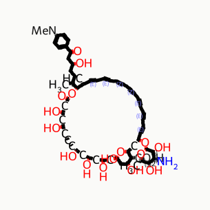 CNc1ccc(C(=O)CC(O)CCC(C)C2OC(=O)CC(O)CC(O)CCCC(O)CC(O)CC(O)CC3(O)CC(O)C(C(=O)O)C(CC(OC4O[C@H](C)[C@@H](O)[C@H](N)[C@@H]4O)/C=C/C=C/C=C/C=C\C=C/C=C/C=C/C2C)O3)cc1